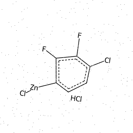 Cl.Fc1c(Cl)cc[c]([Zn][Cl])c1F